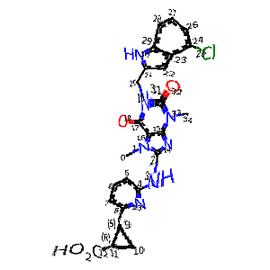 Cn1c(Nc2cccc([C@H]3C[C@H]3C(=O)O)n2)nc2c1c(=O)n(Cc1cc3c(Cl)cccc3[nH]1)c(=O)n2C